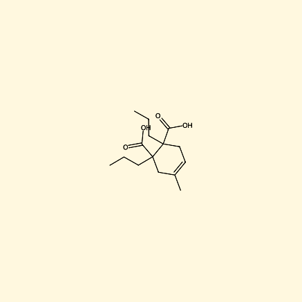 CCCC1(C(=O)O)CC=C(C)CC1(CCC)C(=O)O